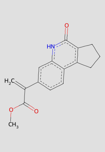 C=C(C(=O)OC)c1ccc2c3c(c(=O)[nH]c2c1)CCC3